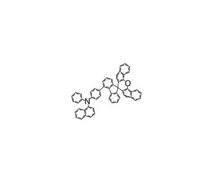 c1ccc(N(c2ccc(-c3cccc4c3-c3ccccc3C43c4ccc5ccccc5c4Oc4c3ccc3ccccc43)cc2)c2cccc3ccccc23)cc1